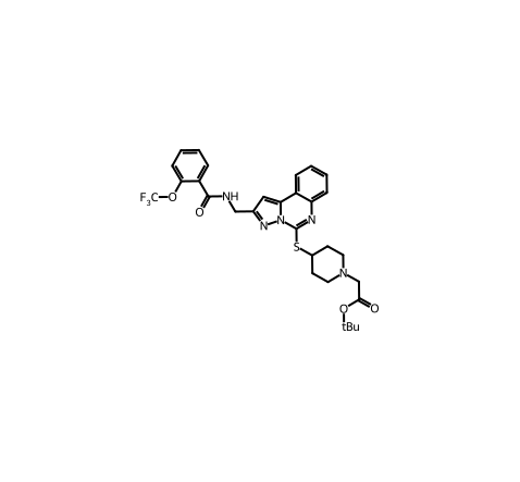 CC(C)(C)OC(=O)CN1CCC(Sc2nc3ccccc3c3cc(CNC(=O)c4ccccc4OC(F)(F)F)nn23)CC1